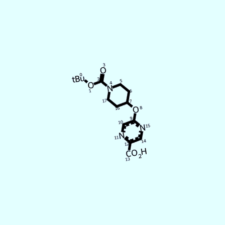 CC(C)(C)OC(=O)N1CCC(Oc2cnc(C(=O)O)cn2)CC1